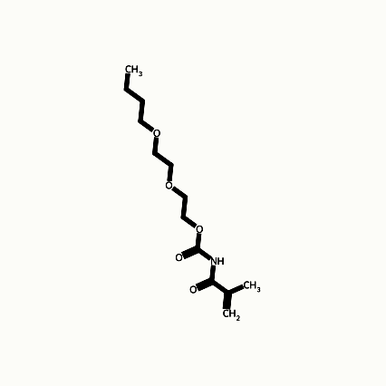 C=C(C)C(=O)NC(=O)OCCOCCOCCCC